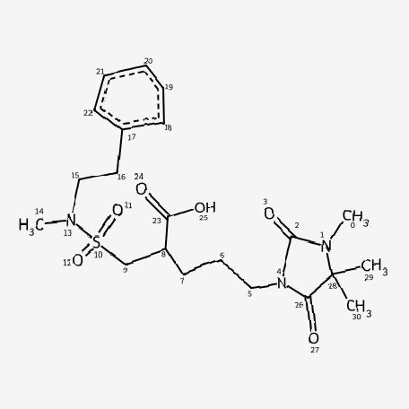 CN1C(=O)N(CCCC(CS(=O)(=O)N(C)CCc2ccccc2)C(=O)O)C(=O)C1(C)C